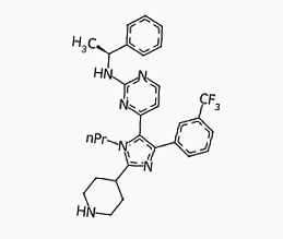 CCCn1c(C2CCNCC2)nc(-c2cccc(C(F)(F)F)c2)c1-c1ccnc(N[C@@H](C)c2ccccc2)n1